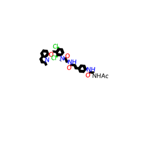 CC(=O)NCC(=O)Nc1ccc(C=CC(=O)NCC(=O)N(C)c2ccc(Cl)c(COc3cccc4ccc(C)nc34)c2Cl)cc1